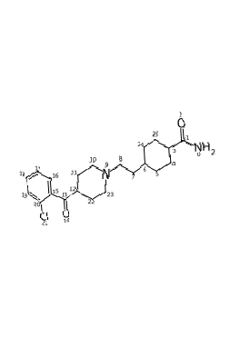 NC(=O)C1CCC(CCN2CCC(C(=O)c3ccccc3Cl)CC2)CC1